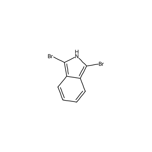 Brc1[nH]c(Br)c2ccccc12